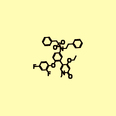 CCOc1cc(=O)n(C)cc1-c1cc(N(CCc2ccccc2)S(=O)(=O)Cc2ccccc2)ccc1Oc1ccc(F)cc1F